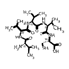 CC(C)[C@H](N)C(=O)N[C@H](C(=O)N[C@H](C(=O)N[C@H](C(=O)N[C@@H](CS)C(=O)O)C(C)C)C(C)C)C(C)C